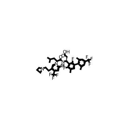 Cc1cc(-c2c(C)cc(C(F)(F)F)cc2C)c(F)c([C@H](CC(=O)O)NC(=O)C(CC(C)C)n2cc(CCN3CCC3)c(C(F)(F)F)cc2=O)c1F